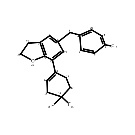 Fc1ccc(Cc2cc3c(c(C4=CCC(F)(F)CC4)c2)OCC3)cc1